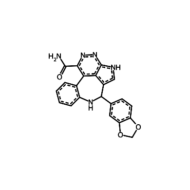 NC(=O)c1nnc2[nH]cc3c2c1-c1ccccc1NC3c1ccc2c(c1)OCO2